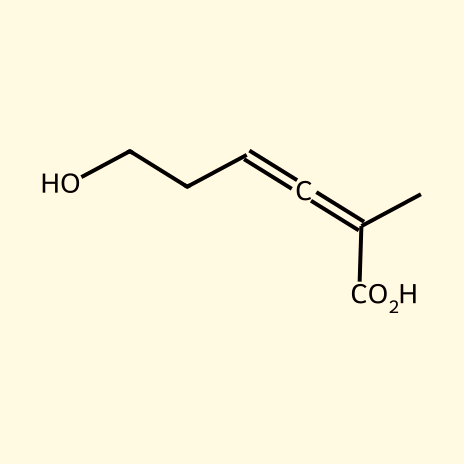 CC(=C=CCCO)C(=O)O